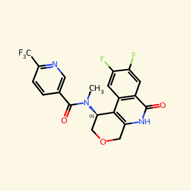 CN(C(=O)c1ccc(C(F)(F)F)nc1)[C@@H]1COCc2[nH]c(=O)c3cc(F)c(F)cc3c21